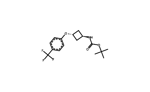 CC(C)(C)OC(=O)N[C@H]1C[C@H](Oc2ccc(C(F)(F)F)cc2)C1